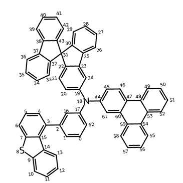 c1cc(-c2cccc3sc4ccccc4c23)cc(N(c2ccc3c(c2)-c2ccccc2C32c3ccccc3-c3ccccc32)c2ccc3c4ccccc4c4ccccc4c3c2)c1